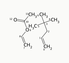 C=CCC(C)(C)C.C=COC(C)=O